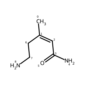 CC(=CC(N)=O)CCN